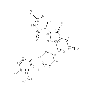 COc1c(C)cccc1CN1CCC(c2cc(F)cc3c2CN(C2CCC(=O)NC2=O)C3=O)CC1